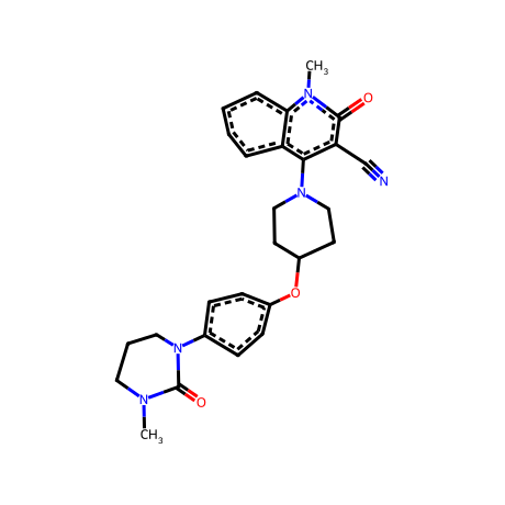 CN1CCCN(c2ccc(OC3CCN(c4c(C#N)c(=O)n(C)c5ccccc45)CC3)cc2)C1=O